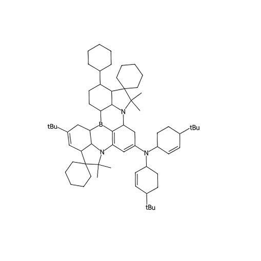 CC(C)(C)C1=CC2C3C(C1)B1C4=C(C=C(N(C5C=CC(C(C)(C)C)CC5)C5C=CC(C(C)(C)C)CC5)CC4N4C5C1CCC(C1CCCCC1)C5C1(CCCCC1)C4(C)C)N3C(C)(C)C21CCCCC1